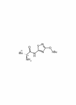 CCCCOc1nsc(NC(=O)[C@@H](N)[C@@H](C)CC)n1